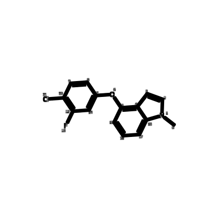 Cn1ccc2c(Oc3ccc(Cl)c(F)c3)cccc21